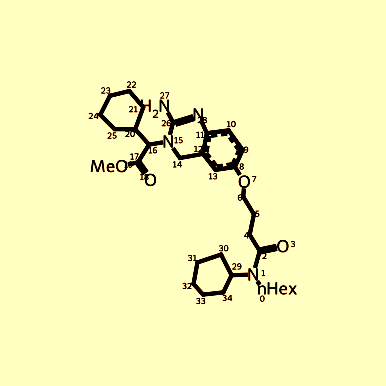 CCCCCCN(C(=O)CCCOc1ccc2c(c1)CN(C(C(=O)OC)C1CCCCC1)C(N)=N2)C1CCCCC1